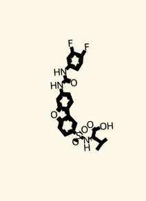 CC(C)[C@@H](NS(=O)(=O)c1ccc2oc3cc(NC(=O)Nc4ccc(F)c(F)c4)ccc3c2c1)C(=O)O